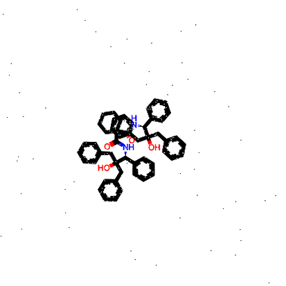 O=C(N[C@H](c1ccccc1)C(O)(Cc1ccccc1)Cc1ccccc1)C1(C(=O)N[C@H](c2ccccc2)C(O)(Cc2ccccc2)Cc2ccccc2)CCCCC1